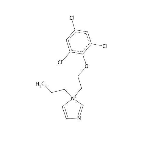 CCC[N+]1(CCOc2c(Cl)cc(Cl)cc2Cl)C=CN=C1